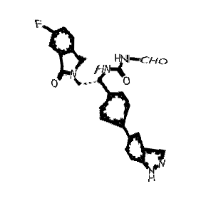 O=CNC(=O)N[C@@H](CN1Cc2ccc(F)cc2C1=O)c1ccc(-c2ccc3[nH]ncc3c2)cc1